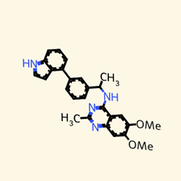 COc1cc2nc(C)nc(NC(C)c3cccc(-c4cccc5[nH]ccc45)c3)c2cc1OC